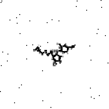 C#Cc1ccc(Nc2c(C(=O)NOCC3CC3)cc(Br)c(F)c2F)c(C)c1